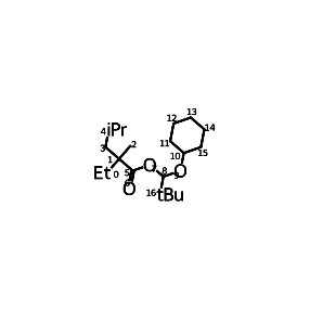 CCC(C)(CC(C)C)C(=O)OC(OC1CCCCC1)C(C)(C)C